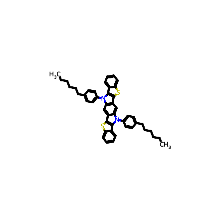 CCCCCCc1ccc(-n2c3cc4c5sc6ccccc6c5n(-c5ccc(CCCCCC)cc5)c4cc3c3sc4ccccc4c32)cc1